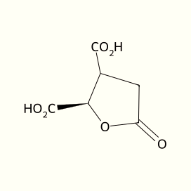 O=C1CC(C(=O)O)[C@H](C(=O)O)O1